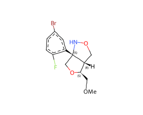 COC[C@H]1OC[C@]2(c3cc(Br)ccc3F)NOC[C@H]12